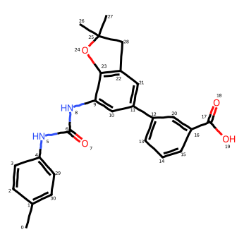 Cc1ccc(NC(=O)Nc2cc(-c3cccc(C(=O)O)c3)cc3c2OC(C)(C)C3)cc1